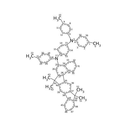 Cc1ccc(N(c2ccc(C)cc2)c2ccc(N(c3ccc(C)cc3)c3cc4c(c5ccccc35)-c3cc5c(cc3C4(C)C)-c3ccccc3C5(C)C)cc2)cc1